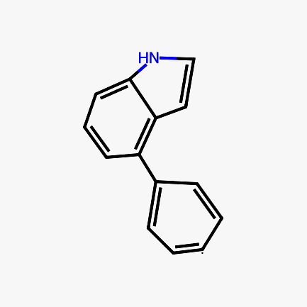 [c]1ccc(-c2cccc3[nH]ccc23)cc1